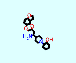 N[C@@H](CC1COc2ccc3occc3c2O1)C1CCN(c2ccccc2O)CC1